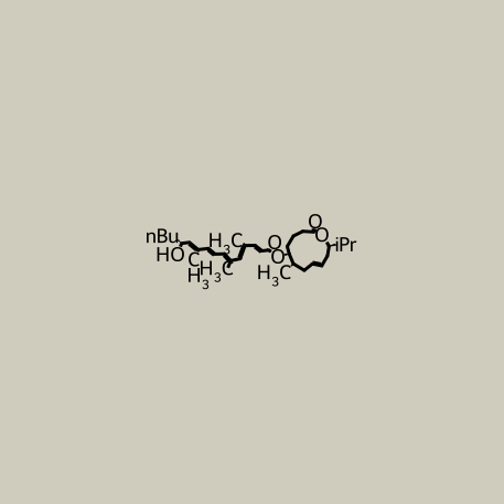 CCCC[C@@H](O)/C=C(C)/C=C/C=C(C)C=C(C)/C=C/C(=O)O[C@H]1CCCC(=O)O[C@@H](C(C)C)C/C=C/C[C@@H]1C